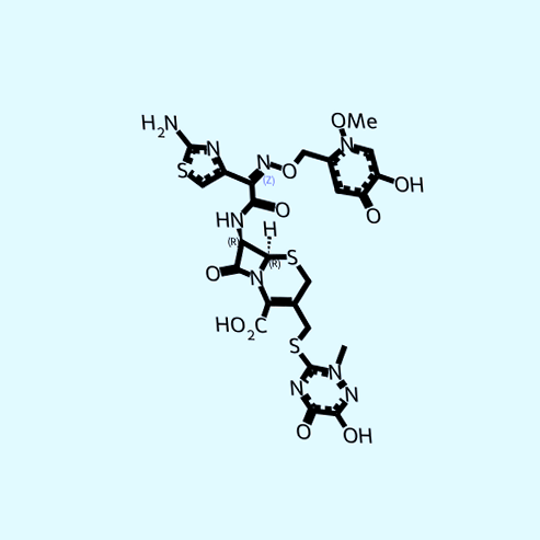 COn1cc(O)c(=O)cc1CO/N=C(\C(=O)N[C@@H]1C(=O)N2C(C(=O)O)=C(CSc3nc(=O)c(O)nn3C)CS[C@H]12)c1csc(N)n1